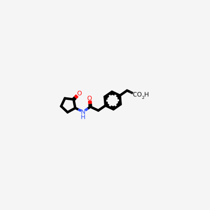 O=C(O)Cc1ccc(CC(=O)NC2CCCC2=O)cc1